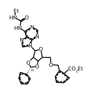 CCNC(=O)Nc1ncnc2c1ncn2C1OC(COCc2ccccc2C(=O)OCC)C2O[C@H](c3ccccc3)OC21